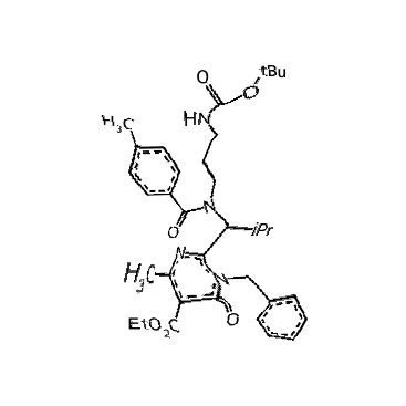 CCOC(=O)c1c(C)nc(C(C(C)C)N(CCCNC(=O)OC(C)(C)C)C(=O)c2ccc(C)cc2)n(Cc2ccccc2)c1=O